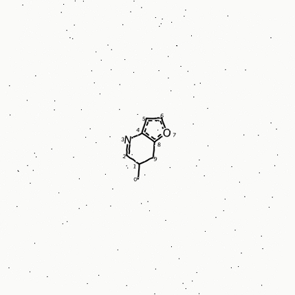 CC1C=Nc2ccoc2C1